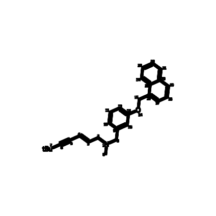 CN(CC=CC#CC(C)(C)C)Cc1cccc(OCc2cccc3ccccc23)c1